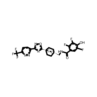 O=C(NC[C@]12CC[C@](c3nc(-c4ccc(C(F)(F)F)nn4)no3)(CC1)CC2)c1cc(F)c(O)c(F)c1F